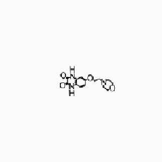 O=c1[nH]c2ccc(OCCN3CCOCC3)cc2[nH]c1=O